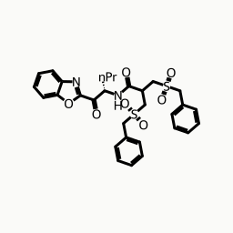 CCC[C@H](NC(=O)C(CS(=O)(=O)Cc1ccccc1)CS(=O)(=O)Cc1ccccc1)C(=O)c1nc2ccccc2o1